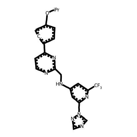 CC(C)Oc1ccc(-c2ccnc(CNc3cc(-n4cncn4)nc(C(F)(F)F)c3)n2)cc1